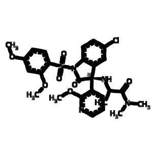 COc1ccc(S(=O)(=O)N2C(=O)[C@@](NC(C)C(=O)N(C)C)(c3cccnc3OC)c3cc(Cl)ccc32)c(OC)c1